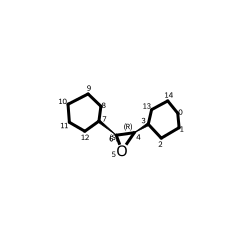 C1CCC([C@H]2O[C@H]2C2CCCCC2)CC1